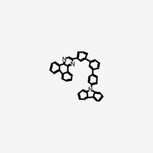 c1cc(-c2ccc(-n3c4ccccc4c4ccccc43)cc2)cc(-c2cccc(-c3cnc4c5ccccc5c5ccccc5c4n3)c2)c1